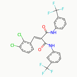 O=C(Nc1cccc(C(F)(F)F)c1)C(=Cc1cccc(Cl)c1Cl)C(=O)Nc1cccc(C(F)(F)F)c1